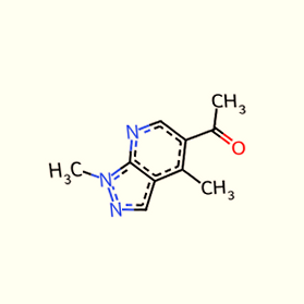 CC(=O)c1cnc2c(cnn2C)c1C